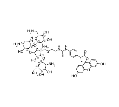 NCC1O[C@@H](O[C@@H]2C(N)C[C@@H](N)C(O)[C@H]2OC2O[C@H](CSCCNC(=S)Nc3ccc(C4CC5(OC4=O)c4ccc(O)cc4Oc4cc(O)ccc45)cc3)[C@H](O[C@H]3O[C@@H](CN)[C@@H](O)C(O)C3N)[C@@H]2O)C(N)[C@@H](O)[C@@H]1O